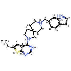 FC(F)(F)Cc1cc2c(N3CCC4(CCN(Cc5ccc6cc[nH]c6c5)CC4)C3)ncnc2s1